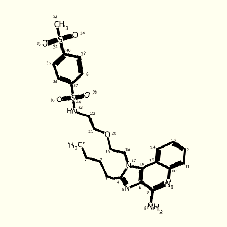 CCCCc1nc2c(N)nc3ccccc3c2n1CCOCCNS(=O)(=O)c1ccc(S(C)(=O)=O)cc1